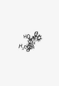 Cc1cn([C@H]2CC(O)[C@@H](CNC(=O)c3ccccc3)O2)c(=O)[nH]c1=O